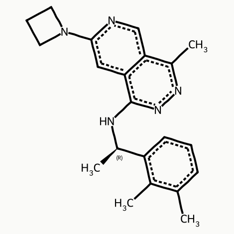 Cc1cccc([C@@H](C)Nc2nnc(C)c3cnc(N4CCC4)cc23)c1C